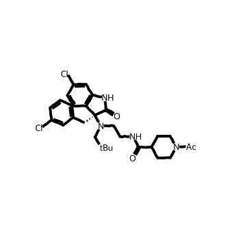 CC(=O)N1CCC(C(=O)NCCN(CC(C)(C)C)[C@]2(Cc3cccc(Cl)c3)C(=O)Nc3cc(Cl)ccc32)CC1